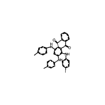 Cc1ccc(Nc2cc(Nc3ccc(C)cc3)c3c(c2Nc2ccc(C)cc2)C(=O)c2ccccc2C3=O)cc1